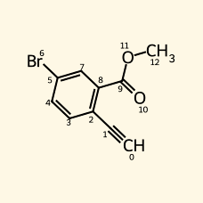 C#Cc1ccc(Br)cc1C(=O)OC